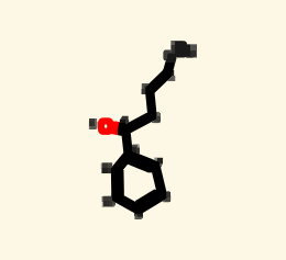 CCC(C)CCCC(=O)c1ccccc1